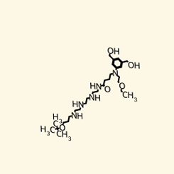 CCOCCN(CCCC(=O)NCCNCCNCCNCCCOC(C)(C)C)c1cc(CO)cc(CO)c1